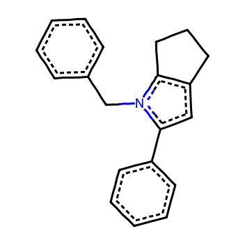 c1ccc(Cn2c(-c3ccccc3)cc3c2CCC3)cc1